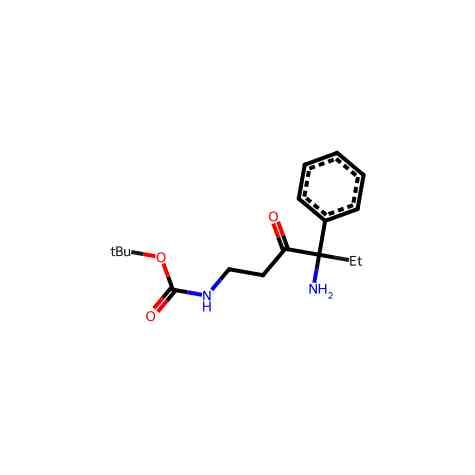 [CH2]CC(N)(C(=O)CCNC(=O)OC(C)(C)C)c1ccccc1